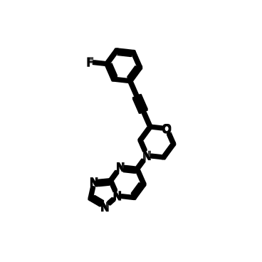 Fc1cccc(C#CC2CN(c3ccn4ncnc4n3)CCO2)c1